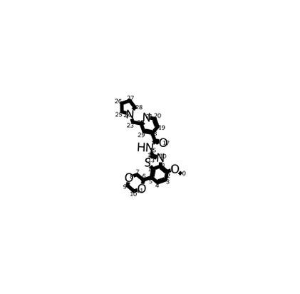 COc1ccc(C2COCCO2)c2sc(NC(=O)c3ccnc(CN4CCCC4)c3)nc12